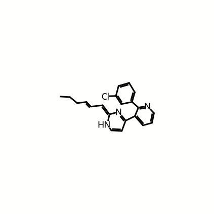 CCC/C=C/C=C1/N=C(c2cccnc2-c2cccc(Cl)c2)C=CN1